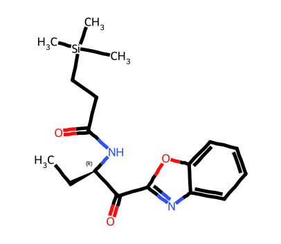 CC[C@@H](NC(=O)CC[Si](C)(C)C)C(=O)c1nc2ccccc2o1